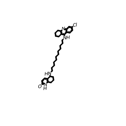 O=c1ccc2c([nH]1)CCCC2NCCCCCCCCCCCCNc1c2c(nc3cc(Cl)ccc13)CCCC2